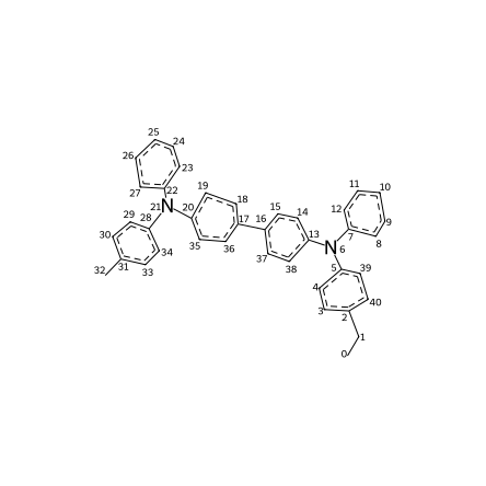 CCc1ccc(N(c2ccccc2)c2ccc(-c3ccc(N(c4ccccc4)c4ccc(C)cc4)cc3)cc2)cc1